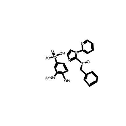 CC(=O)Nc1cc([As](=O)(O)O)ccc1O.[O-][S+](Cc1ccccc1)c1nccn1-c1ccccn1